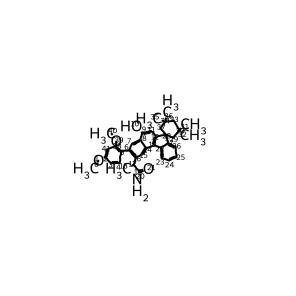 COc1ccc(-c2cc3c(O)cc4c(c3cc2C(C)C(N)=O)-c2ccccc2C42CC(C)(C)CC(C)(C)C2)c(OC)c1